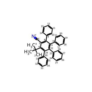 CC(C)(C)c1c(C#N)c(-c2ccccc2)c(-c2ccccc2)c(-c2ccccc2)c1-c1ccccc1